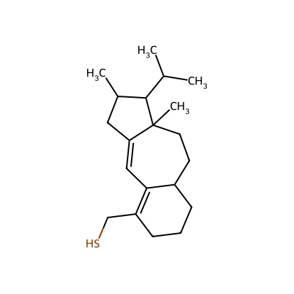 CC(C)C1C(C)CC2=CC3=C(CS)CCCC3CCC21C